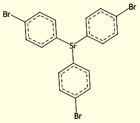 Brc1ccc([Si](c2ccc(Br)cc2)c2ccc(Br)cc2)cc1